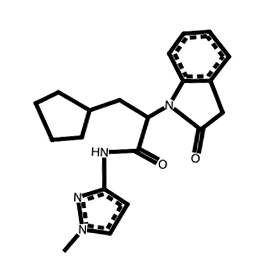 Cn1ccc(NC(=O)C(CC2CCCC2)N2C(=O)Cc3ccccc32)n1